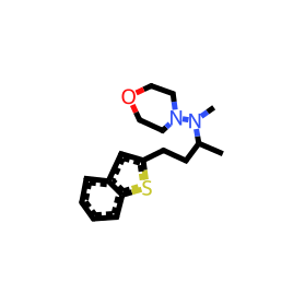 CC(CCc1cc2ccccc2s1)N(C)N1CCOCC1